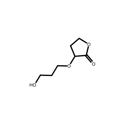 O=C1OCCC1OCCCO